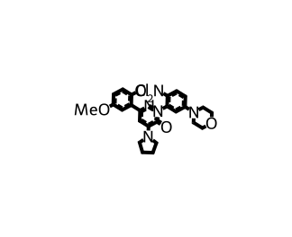 COc1ccc(Cl)c(-c2cc(N3CCCC3)c(=O)n(-c3cc(N4CCOCC4)ccc3[N+](=O)[O-])n2)c1